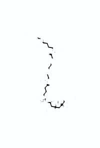 CC(C)(CC(=O)O)CC(C)(C)CC(=O)NS(=O)(=O)CCCC(=O)NCCOCCOCC(=O)N[C@@H](CCC(=O)NCC(=O)O)C(=O)O